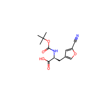 CC(C)(C)OC(=O)N[C@@H](Cc1coc(C#N)c1)C(=O)O